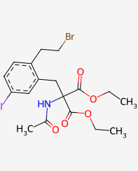 CCOC(=O)C(Cc1cc(I)ccc1CCBr)(NC(C)=O)C(=O)OCC